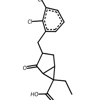 CCC1(C(=O)O)C2CC(Cc3cccc(Cl)c3Cl)C(=O)C21